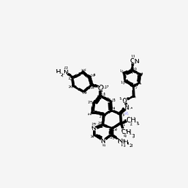 CC1(C)/C(=N/OCc2ccc(C#N)cc2)c2cc(OC3CCC(N)CC3)ccc2-c2ncnc(N)c21